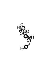 O=C1CCC(N2C(=O)c3ccc(C4(O)CCN(Cc5ccc(CF)cc5)CC4)cc3C2=O)C(=O)N1